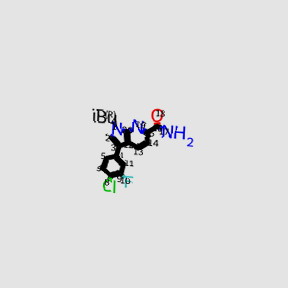 CC[C@@H](C)n1cc(-c2ccc(Cl)c(F)c2)c2ccc(C(N)=O)nc21